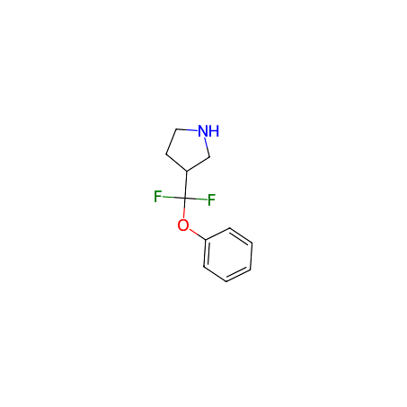 FC(F)(Oc1ccccc1)C1CCNC1